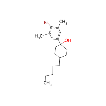 CCCCCC1CCC(O)(c2cc(C)c(Br)c(C)c2)CC1